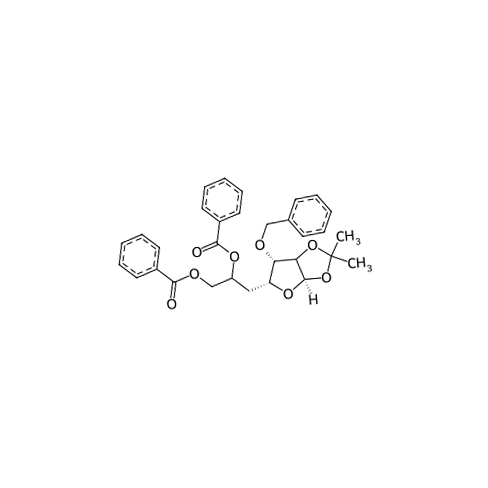 CC1(C)OC2[C@H](O[C@H](CC(COC(=O)c3ccccc3)OC(=O)c3ccccc3)[C@@H]2OCc2ccccc2)O1